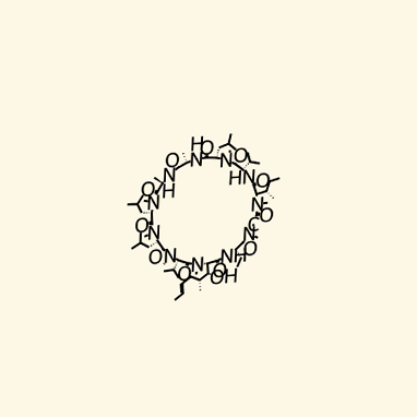 C/C=C/C[C@@H](C)[C@@H](O)[C@H]1C(=O)N[C@@H](CC)C(=O)N(C)CC(=O)N(C)[C@@H]([C@@H](C)CC)C(=O)N[C@@H](C(C)C)C(=O)N(C)[C@@H](CC(C)C)C(=O)N[C@@H](C)C(=O)N[C@H](C)C(=O)N(C)[C@@H](CC(C)C)C(=O)N(C)[C@@H](CC(C)C)C(=O)N(C)[C@@H](C(C)C)C(=O)N1C